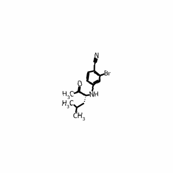 CC(=O)[C@@H](CC(C)C)Nc1ccc(C#N)c(Br)c1